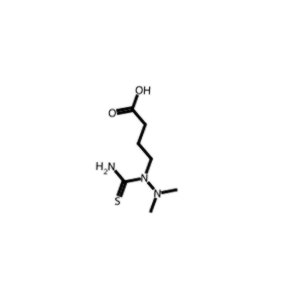 CN(C)N(CCCC(=O)O)C(N)=S